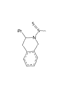 CC(C)C1Cc2ccccc2CN1S(C)=S